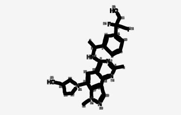 Cc1nc(NC(C)c2cccc(C(F)(F)CO)c2)c2cc(N3CCC(O)C3)c3c(cnn3C)c2n1